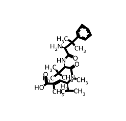 C/C(=C\[C@H](C(C)C)N(C)C(=O)[C@@H](NC(=O)[C@@H](N)C(C)(C)c1ccccc1)C(C)(C)C)C(=O)O